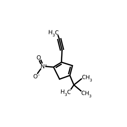 CC#CC1=C([N+](=O)[O-])CC(C(C)(C)C)=C1